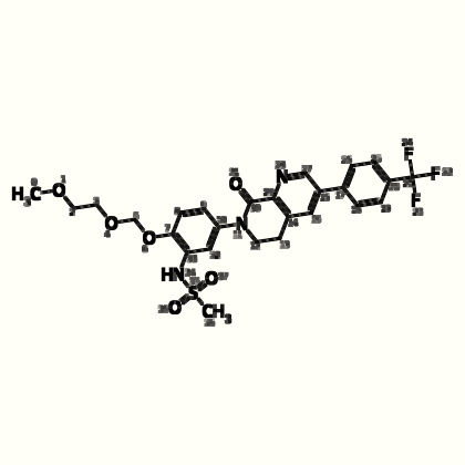 COCCOCOc1ccc(N2CCc3cc(-c4ccc(C(F)(F)F)cc4)cnc3C2=O)cc1NS(C)(=O)=O